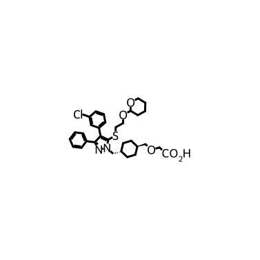 O=C(O)COC[C@H]1CC[C@H](Cn2nc(-c3ccccc3)c(-c3cccc(Cl)c3)c2SCCOC2CCCCO2)CC1